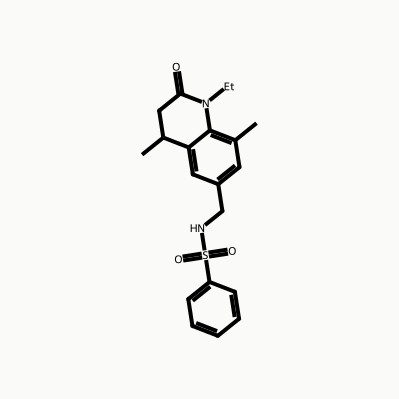 CCN1C(=O)CC(C)c2cc(CNS(=O)(=O)c3ccccc3)cc(C)c21